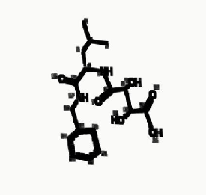 CC(C)C[C@H](NC(=O)[C@@H](O)[C@H](O)C(=O)O)C(=O)NCc1ccccc1